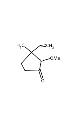 C=CC1(C)CCC(=O)N1OC